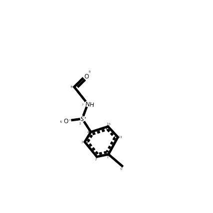 Cc1ccc([S+]([O-])NC=O)cc1